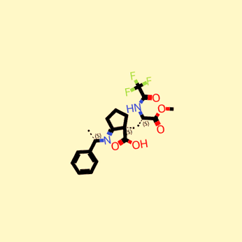 COC(=O)[C@H](C[C@@]1(C(=O)O)CCCC1=N[C@@H](C)c1ccccc1)NC(=O)C(F)(F)F